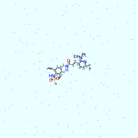 C#Cc1cc(CNC(=O)/C=C/c2ccc(CF)nc2N(CC)CC)cc(F)c1NS(C)(=O)=O